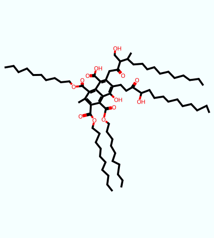 CCCCCCCCCCCC(C)C(CO)C(=O)Cc1c(CCC(=O)C(O)CCCCCCCCCC)c(O)c2c(C(=O)OCCCCCCCCCC)c(C(=O)OCCCCCCCCCC)c(C)c(C(=O)OCCCCCCCCCC)c2c1C(=O)O